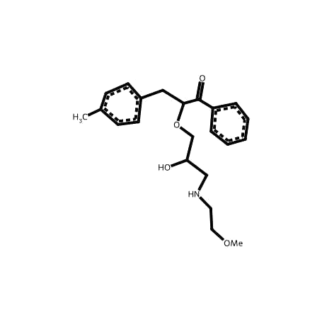 COCCNCC(O)COC(Cc1ccc(C)cc1)C(=O)c1ccccc1